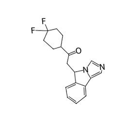 O=C(CC1c2ccccc2-c2cncn21)C1CCC(F)(F)CC1